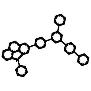 c1ccc(-c2ccc(-c3cc(-c4ccccc4)cc(-c4ccc(-c5cc6ccc7cccc8c7c6c(c5)n8-c5ccccc5)cc4)c3)cc2)cc1